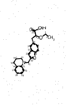 CCOC(Cc1ccc2oc(CN3CCCc4ccccc43)cc2c1)C(=O)O